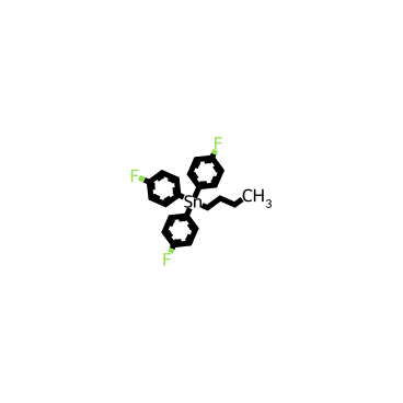 CCC[CH2][Sn]([c]1ccc(F)cc1)([c]1ccc(F)cc1)[c]1ccc(F)cc1